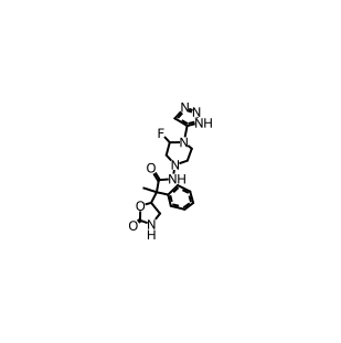 CC(C(=O)NN1CCN(c2cnn[nH]2)C(F)C1)(c1ccccc1)C1CNC(=O)O1